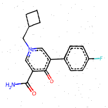 NC(=O)c1cn(CC2CCC2)cc(-c2ccc(F)cc2)c1=O